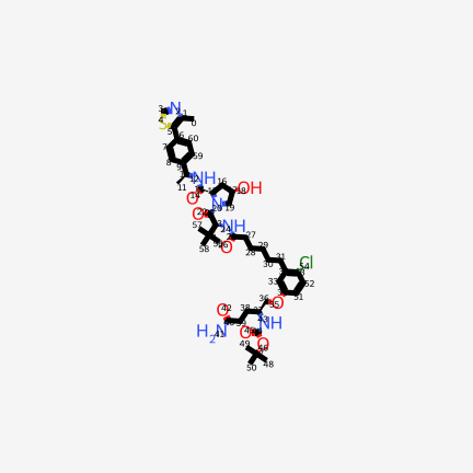 Cc1ncsc1-c1ccc([C@H](C)NC(=O)[C@@H]2C[C@@H](O)CN2C(=O)[C@@H](NC(=O)CCCCCc2cc(OC[C@H](CCC(N)=O)NC(=O)OC(C)(C)C)ccc2Cl)C(C)(C)C)cc1